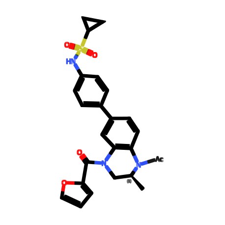 CC(=O)N1c2ccc(-c3ccc(NS(=O)(=O)C4CC4)cc3)cc2N(C(=O)c2ccco2)C[C@@H]1C